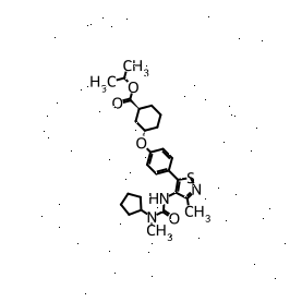 Cc1nsc(-c2ccc(O[C@H]3CCC[C@H](C(=O)OC(C)C)C3)cc2)c1NC(=O)N(C)C1CCCC1